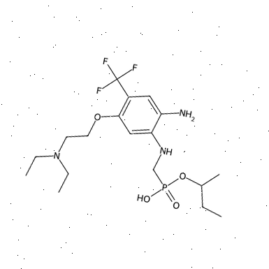 CCC(C)OP(=O)(O)CNc1cc(OCCN(CC)CC)c(C(F)(F)F)cc1N